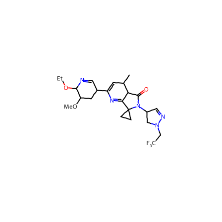 CCOC1N=CC(C2=CC(C)C3C(=O)N(C4C=NN(CC(F)(F)F)C4)C4(CC4)C3=N2)CC1OC